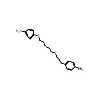 Nc1ccc(OCCOCCOCCOc2ccc(N)cc2)cc1